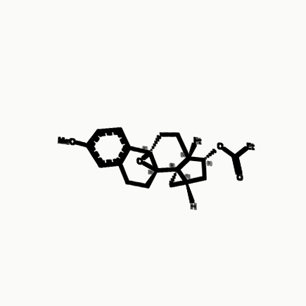 CCC(=O)O[C@@H]1C[C@@H]2C[C@]23[C@]1(CC)CC[C@@]12O[C@@]31CCc1cc(OC)ccc12